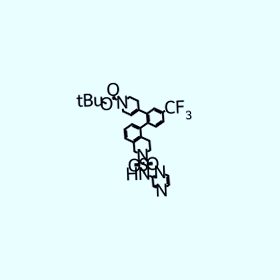 CC(C)(C)OC(=O)N1CC=C(c2cc(C(F)(F)F)ccc2-c2cccc3c2CCN(S(=O)(=O)Nc2cnccn2)C3)CC1